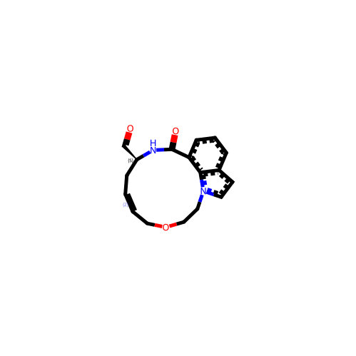 O=C[C@@H]1C/C=C\COCCn2ccc3cccc(c32)C(=O)N1